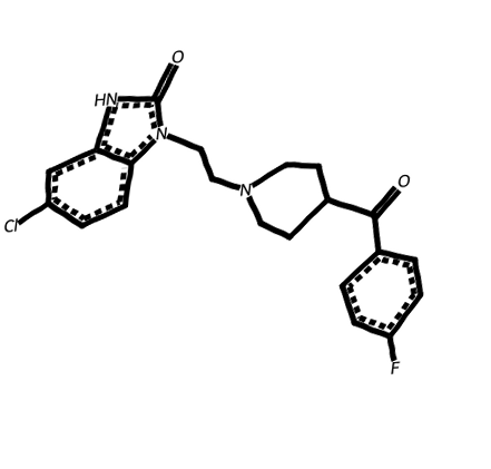 O=C(c1ccc(F)cc1)C1CCN(CCn2c(=O)[nH]c3cc(Cl)ccc32)CC1